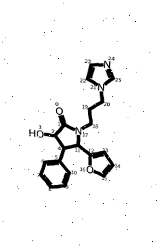 O=C1C(O)C(c2ccccc2)C(c2ccco2)N1CCCn1ccnc1